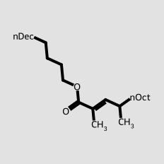 CCCCCCCCCCCCCCOC(=O)C(C)=CC(C)CCCCCCCC